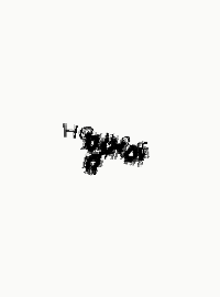 O=C(Nc1ccc(S(F)(F)(F)(F)F)cc1)c1cnc(N2CCC(O)C2)c(-c2cncnc2)c1